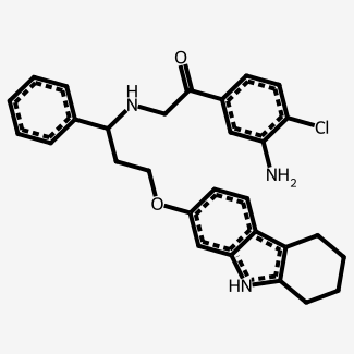 Nc1cc(C(=O)CNC(CCOc2ccc3c4c([nH]c3c2)CCCC4)c2ccccc2)ccc1Cl